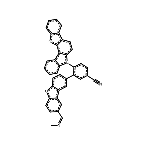 C/N=C\c1ccc2oc3ccc(-c4cc(C#N)ccc4-n4c5ccccc5c5c6oc7ccccc7c6ccc54)cc3c2c1